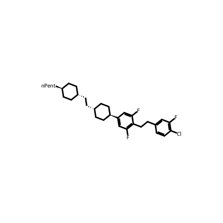 CCCCC[C@H]1CC[C@H](CC[C@H]2CC[C@H](c3cc(F)c(CCc4ccc(Cl)c(F)c4)c(F)c3)CC2)CC1